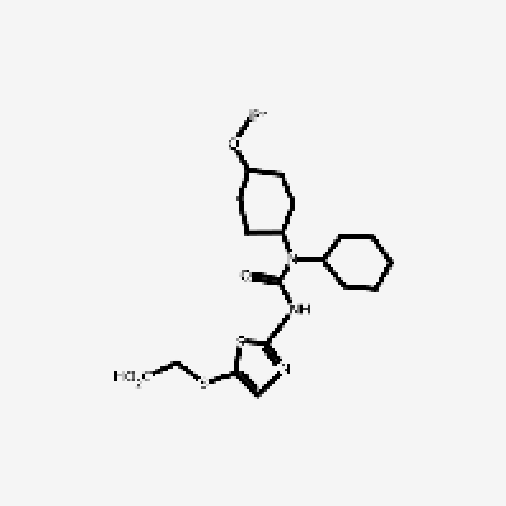 CC(C)OC1CCC(N(C(=O)Nc2ncc(SCC(=O)O)s2)C2CCCCC2)CC1